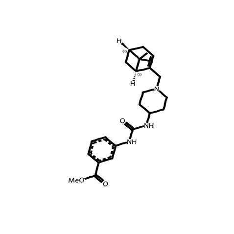 COC(=O)c1cccc(NC(=O)NC2CCN(CC3=CC[C@H]4C[C@H]3C4(C)C)CC2)c1